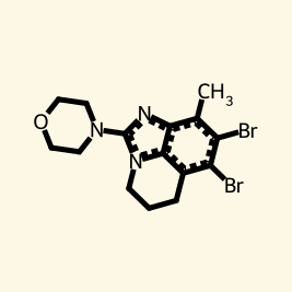 Cc1c(Br)c(Br)c2c3c1nc(N1CCOCC1)n3CCC2